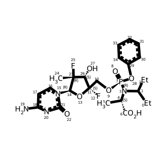 CCC(CC)N([C@@H](C)C(=O)O)[P@@](=O)(OC[C@@]1(F)O[C@@H](n2ccc(N)nc2=O)[C@](C)(F)[C@@H]1O)Oc1ccccc1